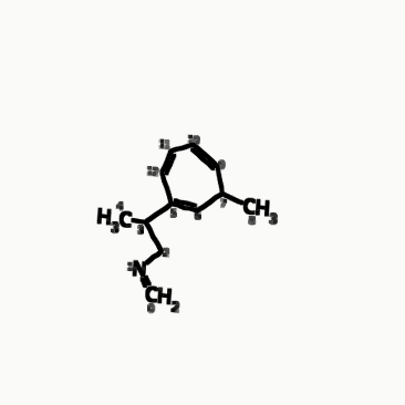 C=NCC(C)C1=CC(C)C=CC=C1